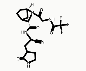 N#CC(CC1CCNC1=O)NC(=O)[C@@H]1C2CC[C@H](C2)N1C(=O)CNC(=O)C(F)(F)F